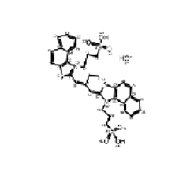 CCC(=Cc1sc2ccc3ccccc3c2[n+]1CCCS(=O)(=O)O)C=C1Sc2ccc3ccccc3c2N1CCCS(=O)(=O)O.[OH-]